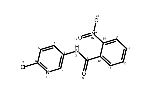 O=C(Nc1ccc(Cl)nc1)c1ccccc1[N+](=O)[O-]